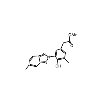 COC(=O)Cc1cc(C)c(O)c(-n2nc3ccc(C)cc3n2)c1